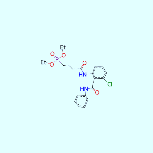 CCOP(=O)(CCCC(=O)Nc1cccc(Cl)c1C(=O)Nc1ccccc1)OCC